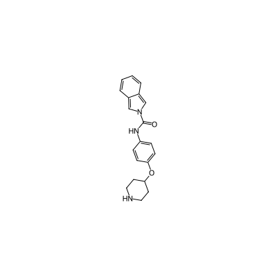 O=C(Nc1ccc(OC2CCNCC2)cc1)n1cc2ccccc2c1